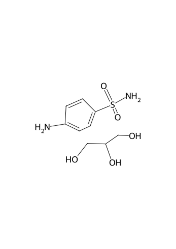 Nc1ccc(S(N)(=O)=O)cc1.OCC(O)CO